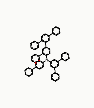 c1ccc(-c2ccc(N(c3cc(-c4ccccc4)cc(-c4ccccc4)c3)c3ccc(-c4cc(-c5ccccc5)ccc4-c4ccccc4)cc3-c3ccccc3)cc2)cc1